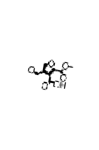 COC(=O)c1occ(C=O)c1C(=O)O